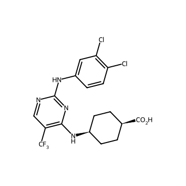 O=C(O)[C@H]1CC[C@@H](Nc2nc(Nc3ccc(Cl)c(Cl)c3)ncc2C(F)(F)F)CC1